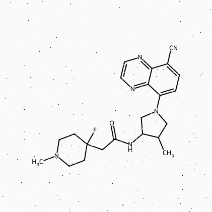 CC1CN(c2ccc(C#N)c3nccnc23)CC1NC(=O)CC1(F)CCN(C)CC1